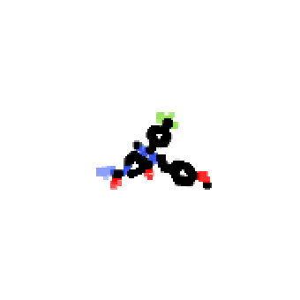 COc1ccc(CCN2C(=O)C3(CCN(C(N)=O)CC3)N(C)C2c2ccc(C(F)(F)F)cc2)cc1